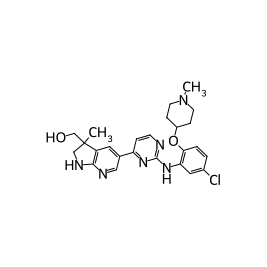 CN1CCC(Oc2ccc(Cl)cc2Nc2nccc(-c3cnc4c(c3)C(C)(CO)CN4)n2)CC1